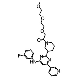 COCCOCCOCC(=O)N1CCCC(c2nc(Nc3cccc(F)c3)cc(-c3cccnc3)n2)C1